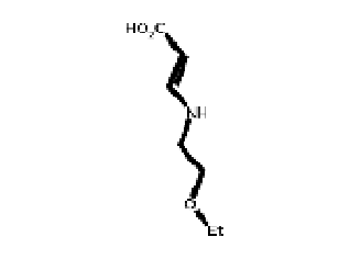 CCOCCNC=CC(=O)O